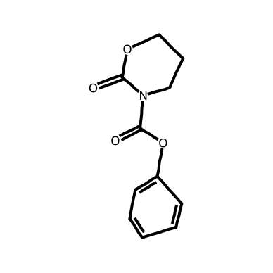 O=C1OCCCN1C(=O)Oc1ccccc1